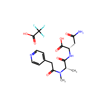 C[C@@H](C(=O)N[C@@H](CC(N)=O)C(=O)O)N(C)C(=O)Cc1ccncc1.O=C(O)C(F)(F)F